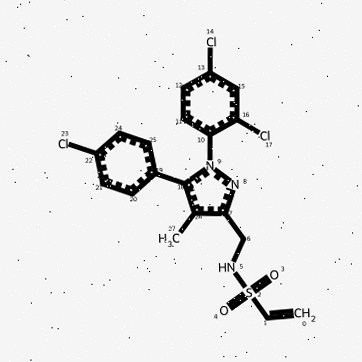 C=CS(=O)(=O)NCc1nn(-c2ccc(Cl)cc2Cl)c(-c2ccc(Cl)cc2)c1C